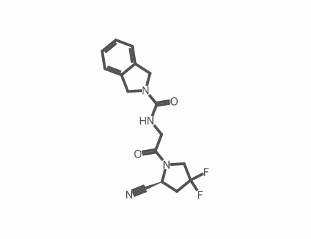 N#C[C@@H]1CC(F)(F)CN1C(=O)CNC(=O)N1Cc2ccccc2C1